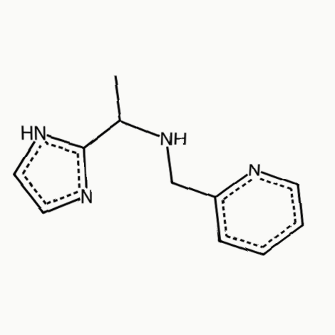 CC(NCc1ccccn1)c1ncc[nH]1